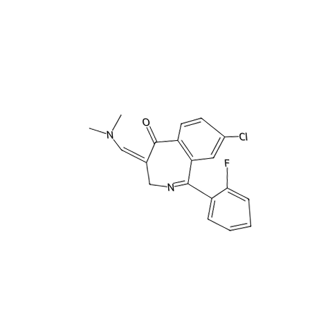 CN(C)/C=C1/CN=C(c2ccccc2F)c2cc(Cl)ccc2C1=O